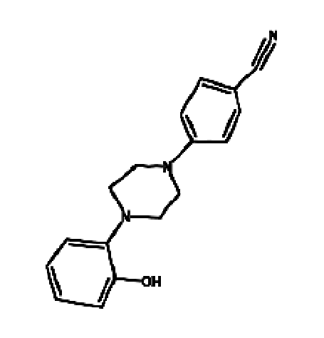 N#Cc1ccc(N2CCN(c3ccccc3O)CC2)cc1